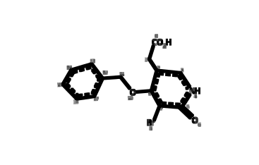 O=C(O)Cc1c[nH]c(=O)c(Br)c1OCc1ccccc1